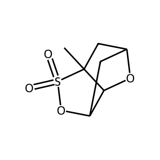 CC12CC3CC(OS1(=O)=O)C2O3